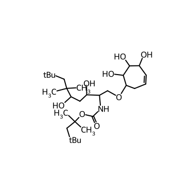 CC(C)(C)CC(C)(C)OC(=O)NC(COC1CC=CC(O)C(O)C1O)C(O)CC(O)C(C)(C)CC(C)(C)C